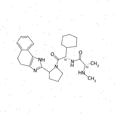 CN[C@@H](C)C(=O)N[C@H](C(=O)N1CCCC1c1nc2c([nH]1)-c1ccccc1CC2)C1CCCCC1